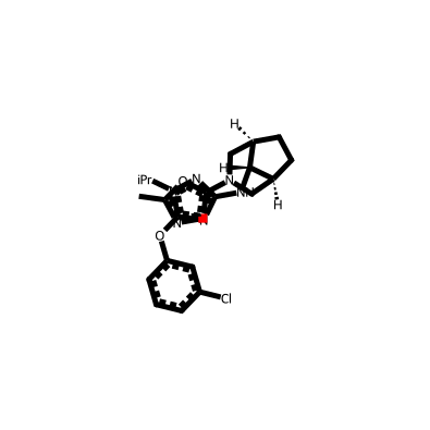 Cc1nnc(N2C[C@H]3CC[C@@H](C2)[C@@H]3Nc2nc(Oc3cccc(Cl)c3)n(C(C)C)n2)o1